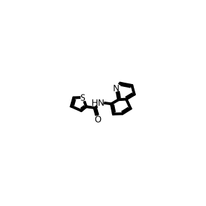 O=C(Nc1cccc2cccnc12)c1cccs1